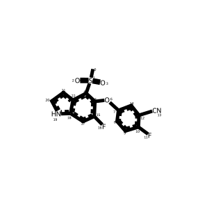 CS(=O)(=O)c1c(Oc2ccc(F)c(C#N)c2)c(F)cc2[nH]ccc12